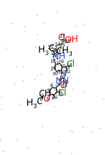 CC(C)Oc1ccc(-c2nc(-n3cc(Cl)c4cc(CNCC(C)(C)CCC(=O)O)ccc43)no2)c(Cl)c1